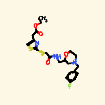 CCOC(=O)Cc1csc(SCC(=O)NCC2CN(Cc3ccc(F)cc3)CCO2)n1